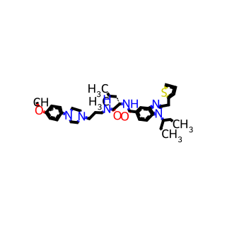 CCC(CC)n1c(Cc2cccs2)nc2cc(C(=O)N[C@@H](CC(C)C)C(=O)NCCCN3CCN(c4ccc(OC)cc4)CC3)ccc21